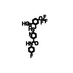 O=C(Nc1ccc(F)cc1)c1ccc(SCc2cc(OC(F)(F)F)ccc2BO)nc1